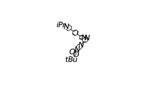 CC(C)N1CCC(c2ccc(-c3cc4c(N5CCN(C(=O)OCC(C)(C)C)CC5)ccnn4c3)cc2)CC1